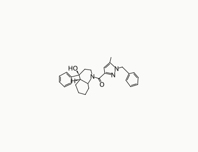 Cc1cc(C(=O)N2CC[C@@](O)(c3ccccc3)[C@H]3CCCCC32)nn1Cc1ccccc1